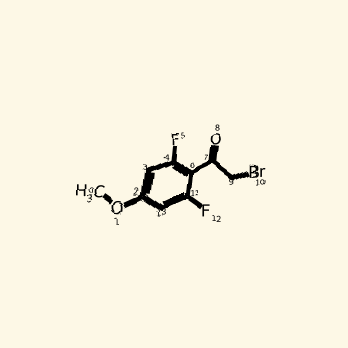 COc1cc(F)c(C(=O)CBr)c(F)c1